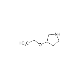 O=C(O)COC1CCNC1